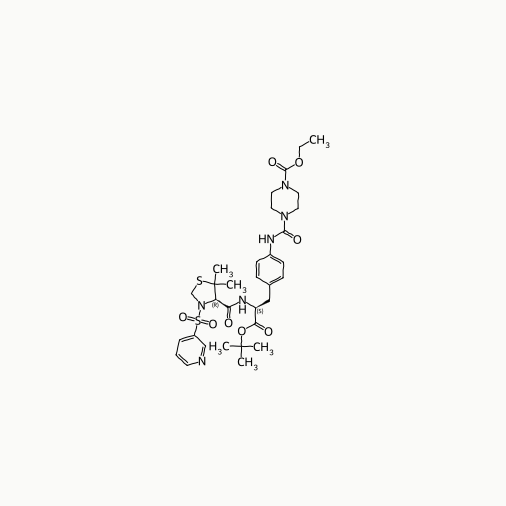 CCOC(=O)N1CCN(C(=O)Nc2ccc(C[C@H](NC(=O)[C@H]3N(S(=O)(=O)c4cccnc4)CSC3(C)C)C(=O)OC(C)(C)C)cc2)CC1